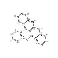 c1ccc(COc2ccccc2Oc2ccc3cnccc3n2)cc1